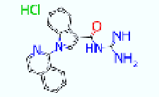 Cl.N=C(N)NC(=O)c1cn(-c2nccc3ccccc23)c2ccccc12